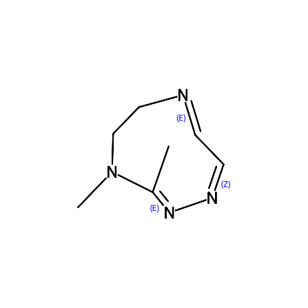 C\C1=N/N=C\C=N\CCN1C